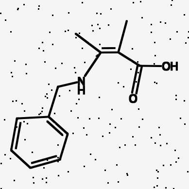 C/C(NCc1ccccc1)=C(\C)C(=O)O